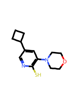 Sc1ncc(C2CCC2)cc1N1CCOCC1